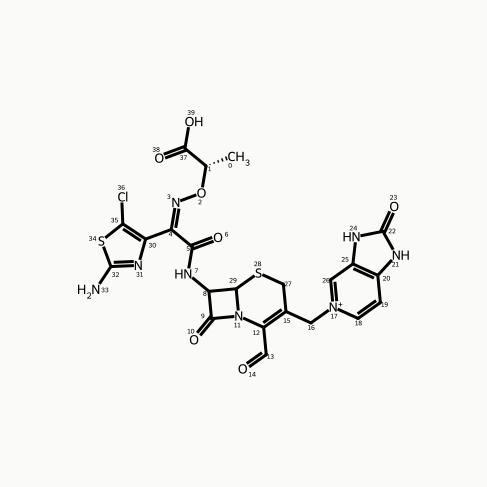 C[C@H](O/N=C(\C(=O)NC1C(=O)N2C(C=O)=C(C[n+]3ccc4[nH]c(=O)[nH]c4c3)CSC12)c1nc(N)sc1Cl)C(=O)O